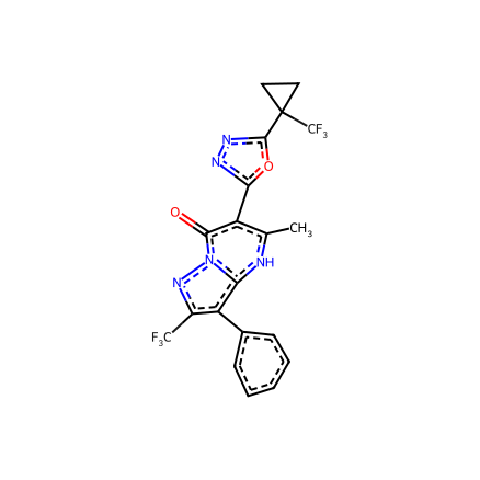 Cc1[nH]c2c(-c3ccccc3)c(C(F)(F)F)nn2c(=O)c1-c1nnc(C2(C(F)(F)F)CC2)o1